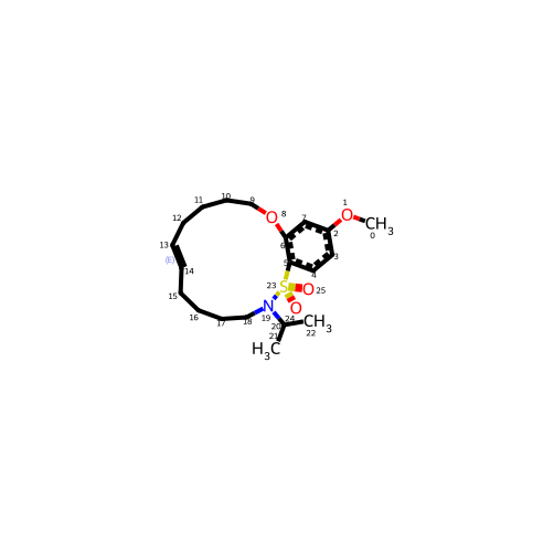 COc1ccc2c(c1)OCCCC/C=C/CCCCN(C(C)C)S2(=O)=O